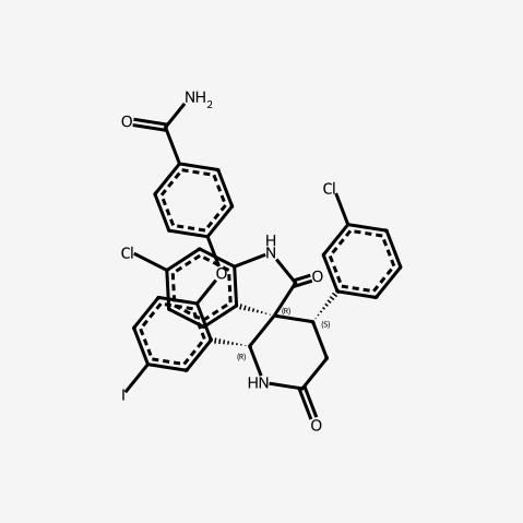 NC(=O)c1ccc(Oc2ccc(I)cc2[C@H]2NC(=O)C[C@@H](c3cccc(Cl)c3)[C@]23C(=O)Nc2cc(Cl)ccc23)cc1